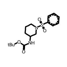 CC(C)(C)OC(=O)NC1CCCN(S(=O)(=O)c2ccccc2)C1